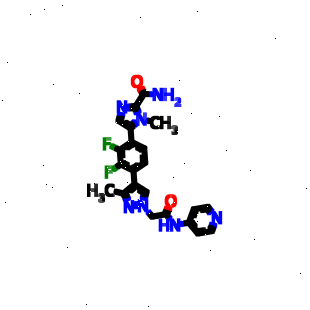 Cc1nn(CC(=O)Nc2ccncc2)cc1-c1ccc(-c2cnc(C(N)=O)n2C)c(F)c1F